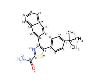 CC(C)(C)c1ccc(-c2sc(C(N)=O)nc2-c2ccc3ccccc3c2)cc1